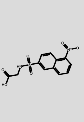 O=C(O)CNS(=O)(=O)c1ccc2c([N+](=O)[O-])cccc2c1